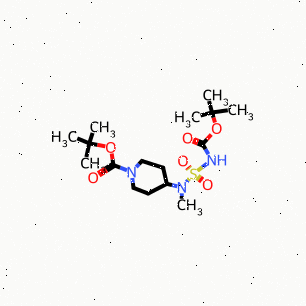 CN(C1CCN(C(=O)OC(C)(C)C)CC1)S(=O)(=O)NC(=O)OC(C)(C)C